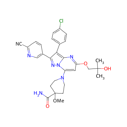 COC1(C(N)=O)CCN(c2cc(OCC(C)(C)O)nc3c(-c4ccc(Cl)cc4)c(-c4ccc(C#N)nc4)nn23)CC1